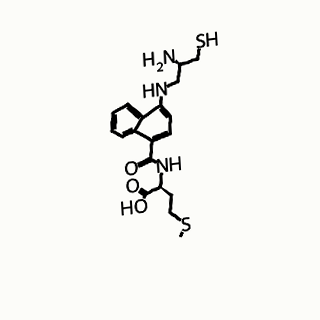 CSCC[C@H](NC(=O)c1ccc(NC[C@@H](N)CS)c2ccccc12)C(=O)O